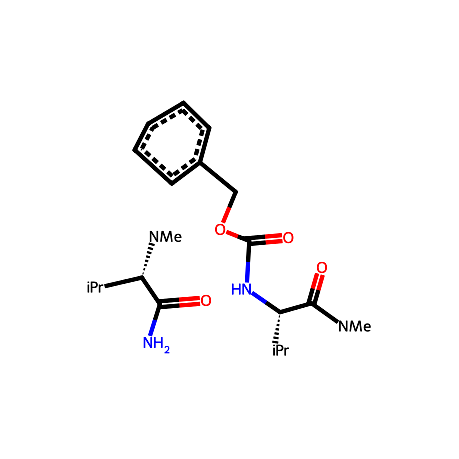 CNC(=O)[C@@H](NC(=O)OCc1ccccc1)C(C)C.CN[C@H](C(N)=O)C(C)C